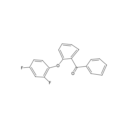 O=C(c1ccccc1)c1ccccc1Oc1ccc(F)cc1F